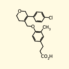 Cc1cc(CCC(=O)O)ccc1OCC1=C(c2ccc(Cl)cc2)COCC1